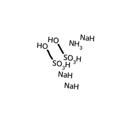 N.O=S(=O)(O)O.O=S(=O)(O)O.[NaH].[NaH].[NaH]